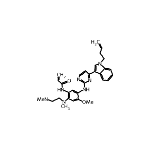 C=CCCn1cc(-c2ccnc(Nc3cc(NC(=O)C=C)c(N(C)CCNC)cc3OC)n2)c2ccccc21